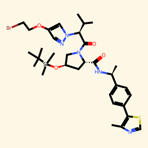 Cc1ncsc1-c1ccc([C@H](C)NC(=O)[C@@H]2C[C@@H](O[Si](C)(C)C(C)(C)C)CN2C(=O)[C@H](C(C)C)n2cc(OCCBr)cn2)cc1